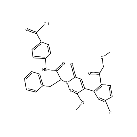 COCC(=O)c1ccc(Cl)cc1-c1cc(=O)n(C(Cc2ccccc2)C(=O)Nc2ccc(C(=O)O)cc2)nc1OC